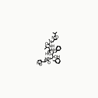 CC(C)c1nc(CN(C)C(=O)N[C@H](C(=O)N[C@@H](Cc2ccccc2)[C@@H](O)[C@@H](O)[C@H](Cc2ccccc2)NC(=O)OCc2ccno2)C(C)C)co1